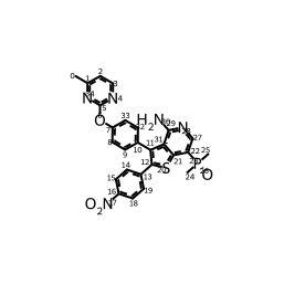 Cc1ccnc(Oc2ccc(-c3c(-c4ccc([N+](=O)[O-])cc4)sc4c(P(C)(C)=O)cnc(N)c34)cc2)n1